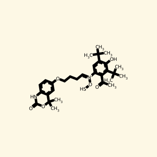 CC(=O)c1c([N+](=CCCCOc2ccc3c(c2)C(C)(C)OC(=O)N3)OS)cc(C(C)(C)C)c(O)c1C(C)(C)C